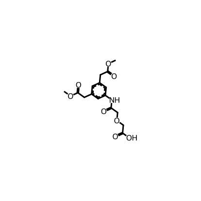 COC(=O)Cc1cc(CC(=O)OC)cc(NC(=O)COCC(=O)O)c1